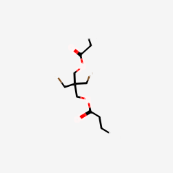 CCCC(=O)OCC(CBr)(CBr)COC(=O)CC